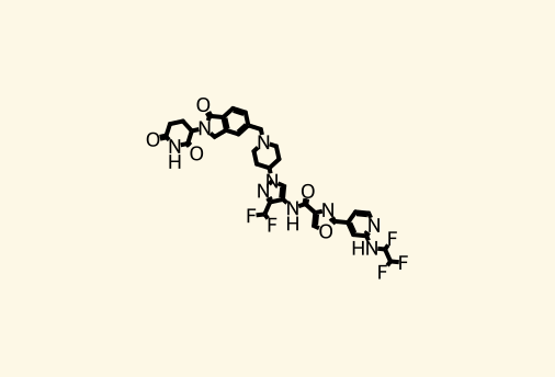 O=C1CCC(N2Cc3cc(CN4CCC(n5cc(NC(=O)c6coc(-c7ccnc(NC(F)C(F)F)c7)n6)c(C(F)F)n5)CC4)ccc3C2=O)C(=O)N1